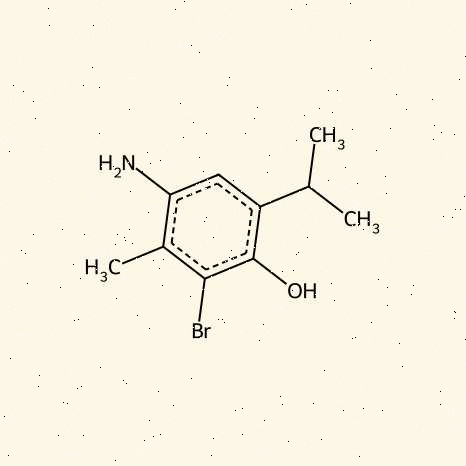 Cc1c(N)cc(C(C)C)c(O)c1Br